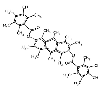 Cc1c(C)c(C)c(C(=O)Oc2c(C)c(C)c3c(C)c4c(C)c(OC(=O)c5c(C)c(C)c(C)c(C)c5C)c(C)c(C)c4c(C)c3c2C)c(C)c1C